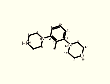 Cc1c(N2CCNCC2)cccc1N1CCOCC1